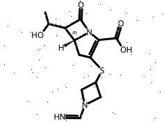 CC(O)C1C(=O)N2C(C(=O)O)=C(SC3CN(C=N)C3)C[C@H]12